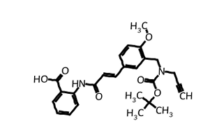 C#CCN(Cc1cc(C=CC(=O)Nc2ccccc2C(=O)O)ccc1OC)C(=O)OC(C)(C)C